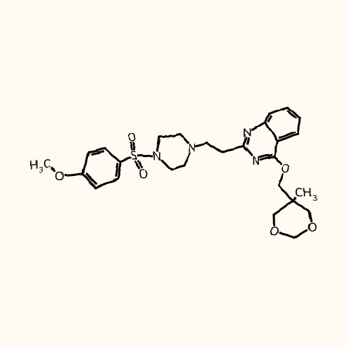 COc1ccc(S(=O)(=O)N2CCN(CCc3nc(OCC4(C)COCOC4)c4ccccc4n3)CC2)cc1